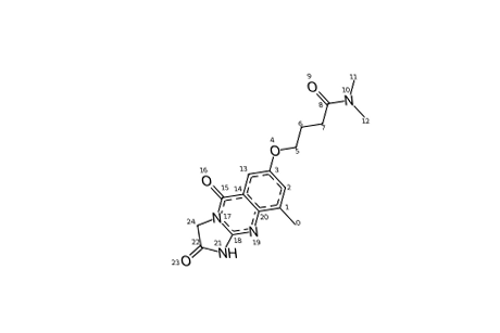 Cc1cc(OCCCC(=O)N(C)C)cc2c(=O)n3c(nc12)NC(=O)C3